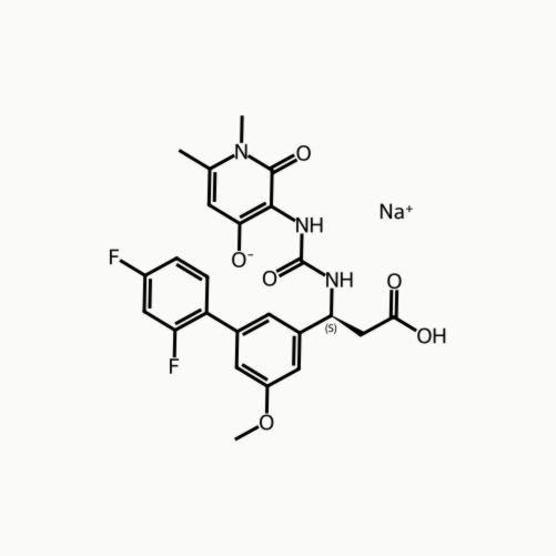 COc1cc(-c2ccc(F)cc2F)cc([C@H](CC(=O)O)NC(=O)Nc2c([O-])cc(C)n(C)c2=O)c1.[Na+]